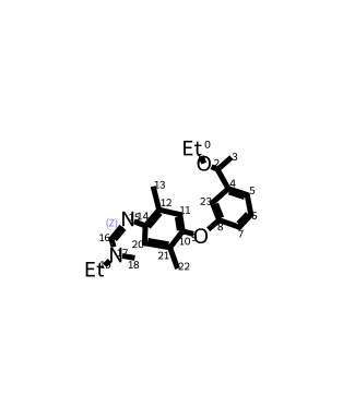 CCOC(C)c1cccc(Oc2cc(C)c(/N=C\N(C)CC)cc2C)c1